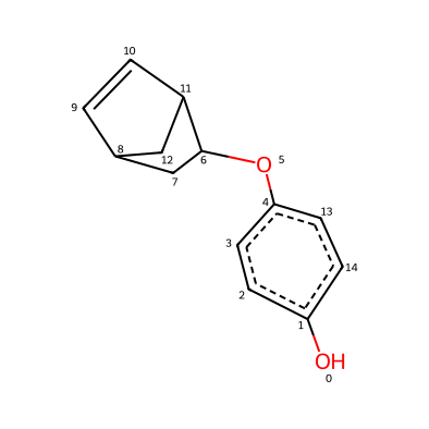 Oc1ccc(OC2CC3C=CC2C3)cc1